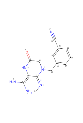 C/N=C1\C(=C(N)N)NC(=O)CN1Cc1cccc(C#N)c1